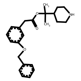 CC(C)(OC(=O)Cc1cccc(OCc2ccccc2)c1)C1CCNCC1